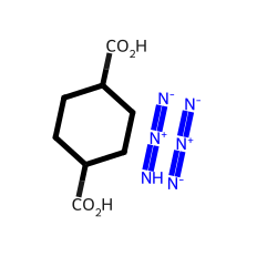 O=C(O)C1CCC(C(=O)O)CC1.[N-]=[N+]=N.[N-]=[N+]=[N-]